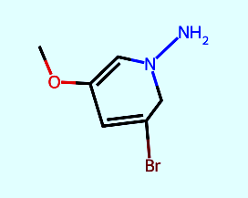 COC1=CN(N)CC(Br)=C1